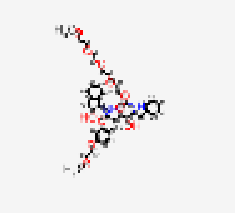 COCCOCCOCCOCCOC(=O)N[C@@H](Cc1ccccc1)[C@@H](O)C[C@@H](Cc1ccc(OCCOC)cc1)C(=O)N[C@H]1c2ccccc2C[C@H]1O